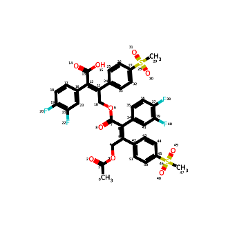 CC(=O)OCC(=C(C(=O)OCC(=C(C(=O)O)c1ccc(F)c(F)c1)c1ccc(S(C)(=O)=O)cc1)c1ccc(F)c(F)c1)c1ccc(S(C)(=O)=O)cc1